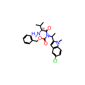 CC(C)[C@H](N)C(=O)N(C(=O)OCc1ccccc1)C(C)c1cc2cc(Cl)ccc2n1C